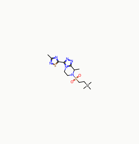 Cc1nsc(-c2nnc3n2CCN(S(=O)(=O)CC[Si](C)(C)C)C3C)n1